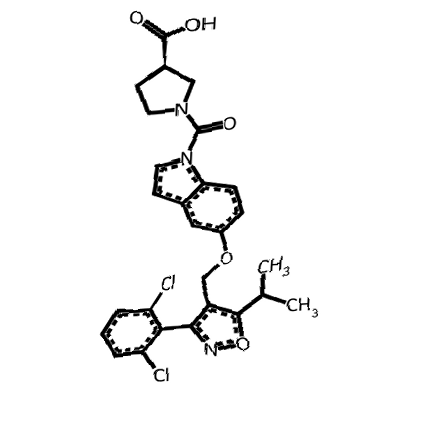 CC(C)c1onc(-c2c(Cl)cccc2Cl)c1COc1ccc2c(ccn2C(=O)N2CC[C@@H](C(=O)O)C2)c1